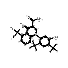 CC(C)(C)c1cc(C(C)(C)C)c(-n2cc(C(N)=O)c(=O)c3c(C(F)(F)F)cccc32)cc1O